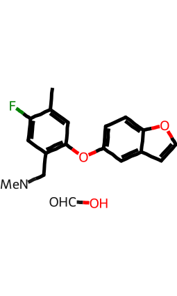 CNCc1cc(F)c(C)cc1Oc1ccc2occc2c1.O=CO